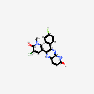 CC(C)n1cc(-c2nc3ccc(=O)[nH]c3nc2-c2ccc(F)cc2)cc(Cl)c1=O